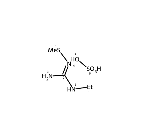 CCNC(N)=NSC.O=S(=O)(O)O